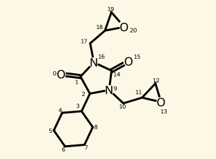 O=C1C(C2CCCCC2)N(CC2CO2)C(=O)N1CC1CO1